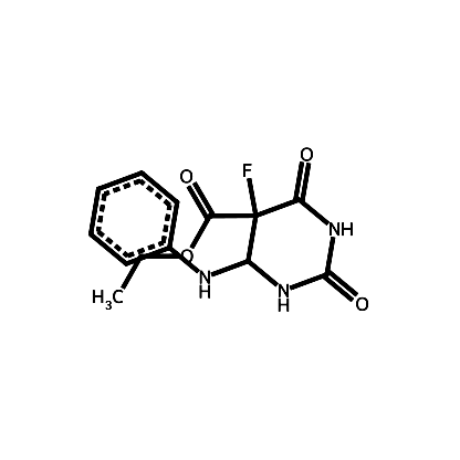 CCOC(=O)C1(F)C(=O)NC(=O)NC1Nc1ccccc1